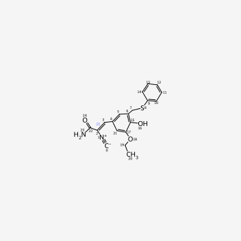 [C-]#[N+]/C(=C\c1cc(CSc2ccccc2)c(O)c(OCC)c1)C(N)=O